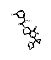 O=C([C@H](O)c1cccc(Cl)c1)N1CCc2nc(C3(c4cncs4)CC3)[nH]c(=O)c2C1